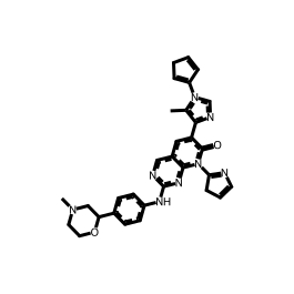 Cc1c(-c2cc3cnc(Nc4ccc(C5CN(C)CCO5)cc4)nc3n(C3=NC=CC3)c2=O)ncn1C1=CCC=C1